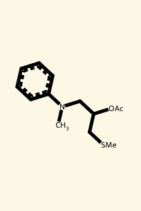 CSCC(CN(C)c1ccccc1)OC(C)=O